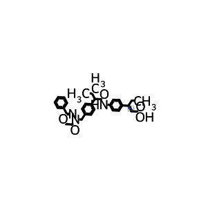 CC/C(=C\C(=O)O)c1ccc(NC(=O)C(c2ccc(CN3N=C(c4ccccc4)OCC3=O)cc2)C(C)C)cc1